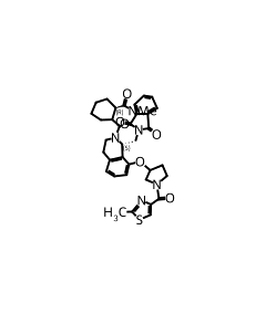 CNC(=O)[C@@H]1CCCCC1C(=O)N1CCc2cccc(OC3CCN(C(=O)c4csc(C)n4)C3)c2[C@H]1CN1C(=O)c2ccccc2C1=O